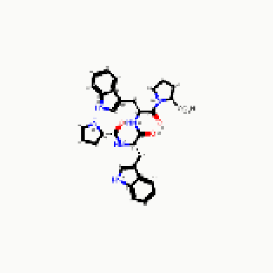 O=C(N[C@@H](Cc1c[nH]c2ccccc12)C(=O)N[C@@H](Cc1c[nH]c2ccccc12)C(=O)N1CCC[C@H]1C(=O)O)[C@@H]1CCCN1